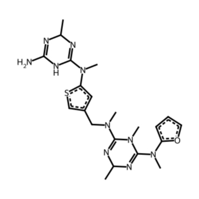 CC1N=C(N(C)Cc2csc(N(C)C3=NC(C)N=C(N)N3)c2)N(C)C(N(C)c2ccco2)=N1